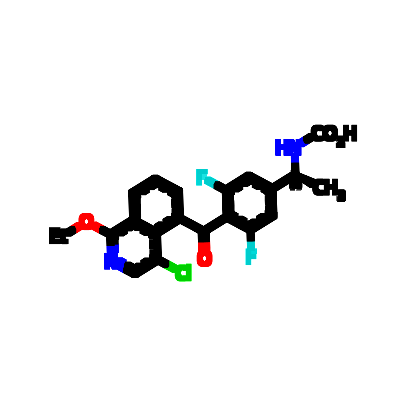 CCOc1ncc(Cl)c2c(C(=O)c3c(F)cc([C@H](C)NC(=O)O)cc3F)cccc12